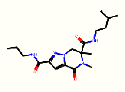 CCCNC(=O)c1cc2n(n1)CC(C)(C(=O)NCCC(C)C)N(C)C2=O